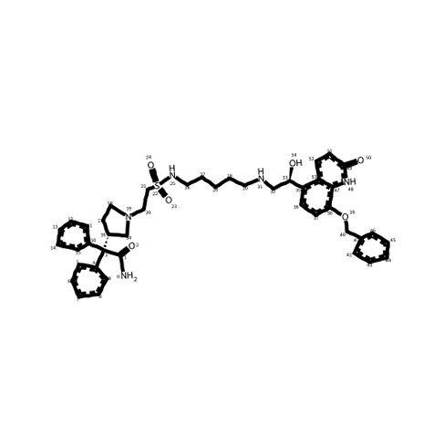 NC(=O)C(c1ccccc1)(c1ccccc1)[C@@H]1CCN(CCS(=O)(=O)NCCCCCNC[C@@H](O)c2ccc(OCc3ccccc3)c3[nH]c(=O)ccc23)C1